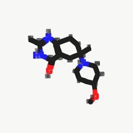 COC1CCN(C2(C)CCc3nc(C)[nH]c(=O)c3C2)CC1